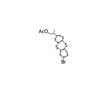 CC(=O)OCC(C)c1ccc2c(c1)Sc1cc(Br)ccc1S2